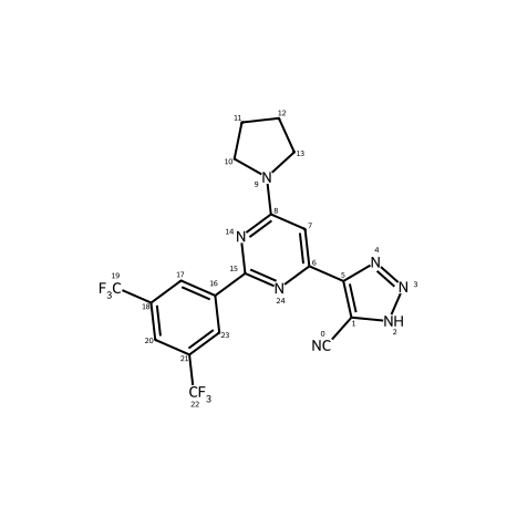 N#Cc1[nH]nnc1-c1cc(N2CCCC2)nc(-c2cc(C(F)(F)F)cc(C(F)(F)F)c2)n1